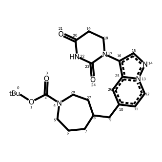 CC(C)(C)OC(=O)N1CCCC(Cc2ccn3ncc(N4CCC(=O)NC4=O)c3c2)CC1